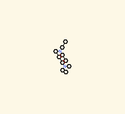 c1ccc(-c2ccc(N(c3ccc(-c4ccccc4)cc3)c3ccccc3-c3ccc(-c4ccc(N(c5ccccc5)c5cccc6ccccc56)cc4)cc3)cc2)cc1